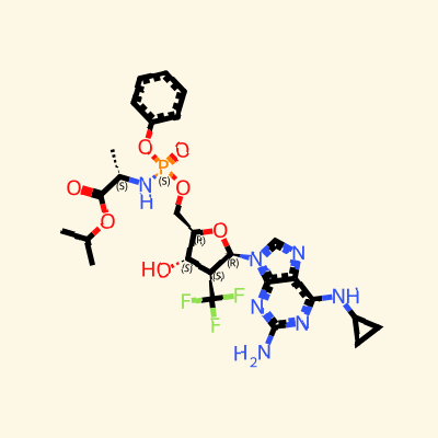 CC(C)OC(=O)[C@H](C)N[P@](=O)(OC[C@H]1O[C@@H](n2cnc3c(NC4CC4)nc(N)nc32)[C@@H](C(F)(F)F)[C@@H]1O)Oc1ccccc1